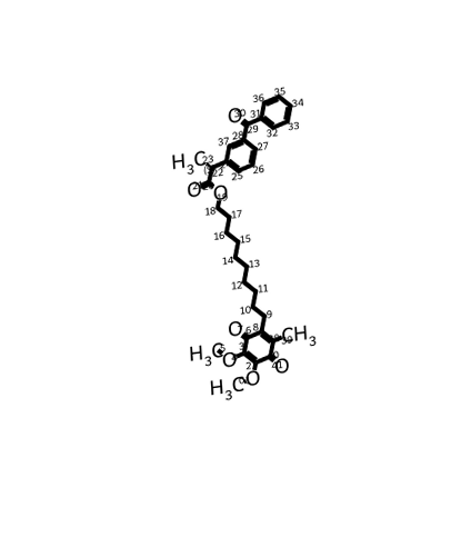 COC1=C(OC)C(=O)C(CCCCCCCCCCOC(=O)[C@@H](C)c2cccc(C(=O)c3ccccc3)c2)=C(C)C1=O